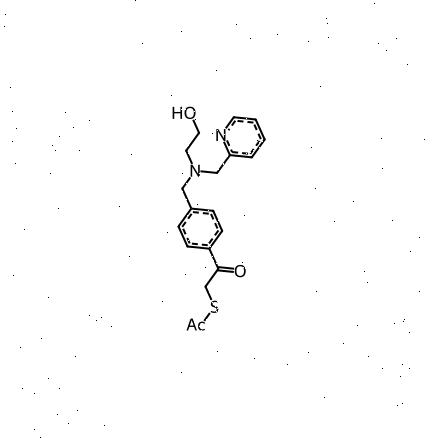 CC(=O)SCC(=O)c1ccc(CN(CCO)Cc2ccccn2)cc1